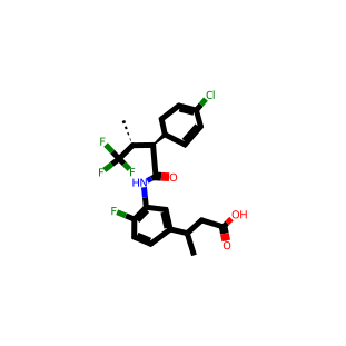 CC(CC(=O)O)c1ccc(F)c(NC(=O)[C@H](C2C=CC(Cl)=CC2)[C@@H](C)C(F)(F)F)c1